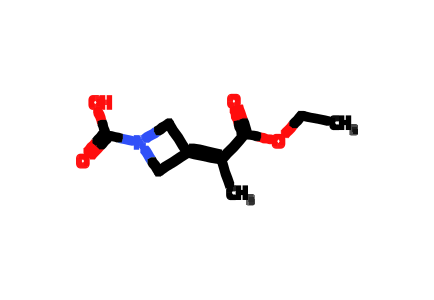 CCOC(=O)C(C)=C1CN(C(=O)O)C1